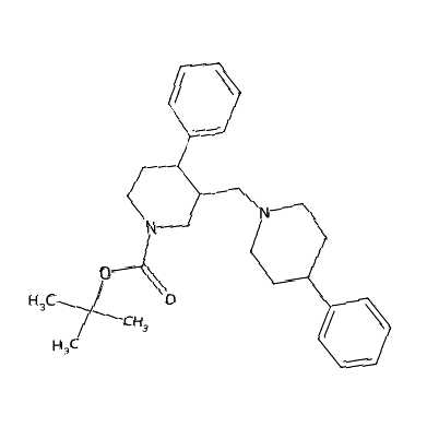 CC(C)(C)OC(=O)N1CCC(c2ccccc2)C(CN2CCC(c3ccccc3)CC2)C1